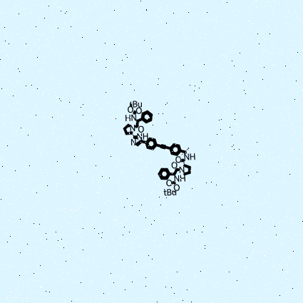 C[C@H](NC(=O)[C@@H]1CCCN1C(=O)[C@H](NC(=O)OC(C)(C)C)c1ccccc1)c1ccc(C#Cc2ccc(-c3cnc([C@@H]4CCCN4C(=O)[C@H](NC(=O)OC(C)(C)C)c4ccccc4)[nH]3)cc2)cc1